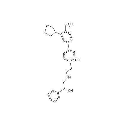 Cl.O=C(O)c1ccc(-c2ccc(CCNC[C@H](O)c3ccccc3)cc2)cc1C1CCCC1